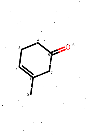 CC1=CCCC(=O)C1